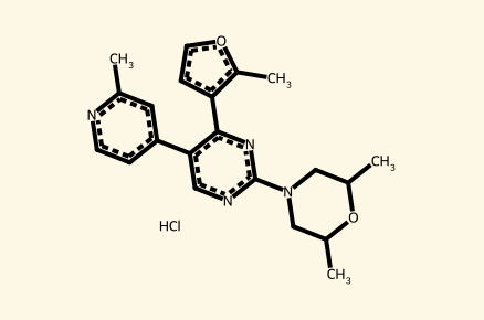 Cc1cc(-c2cnc(N3CC(C)OC(C)C3)nc2-c2ccoc2C)ccn1.Cl